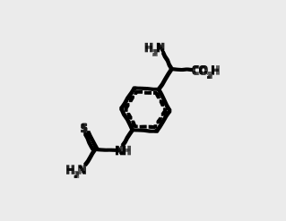 NC(=S)Nc1ccc(C(N)C(=O)O)cc1